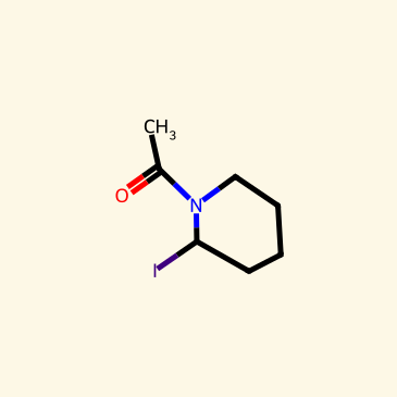 CC(=O)N1CCCCC1I